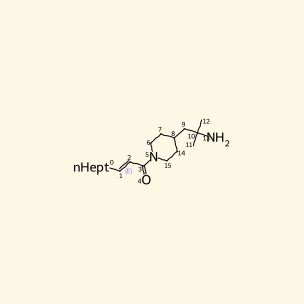 CCCCCCC/C=C/C(=O)N1CCC(CC(C)(C)N)CC1